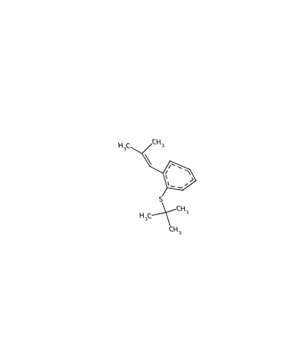 CC(C)=Cc1ccccc1SC(C)(C)C